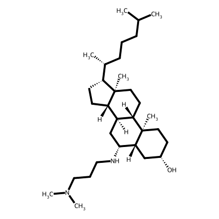 CC(C)CCC[C@@H](C)[C@H]1CC[C@H]2[C@@H]3C[C@@H](NCCCN(C)C)[C@H]4C[C@@H](O)CC[C@]4(C)[C@H]3CC[C@]12C